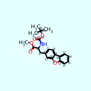 COC(=O)C(Cc1ccc2c(c1)oc1ccccc12)NC(=O)OC(C)(C)C